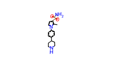 Cc1c(S(N)(=O)=O)ccn1-c1ccc(C2CCNCC2)cc1